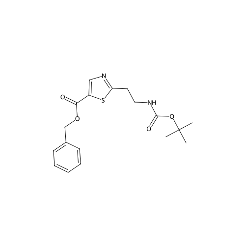 CC(C)(C)OC(=O)NCCc1ncc(C(=O)OCc2ccccc2)s1